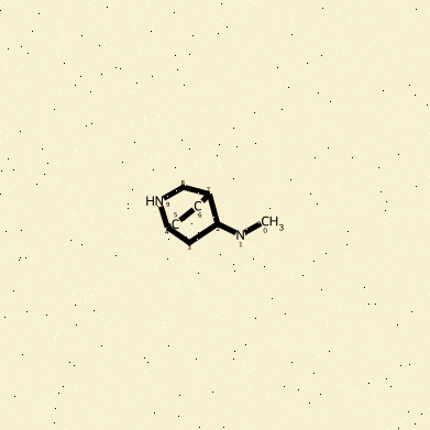 C[N]C1CC2CCC1CN2